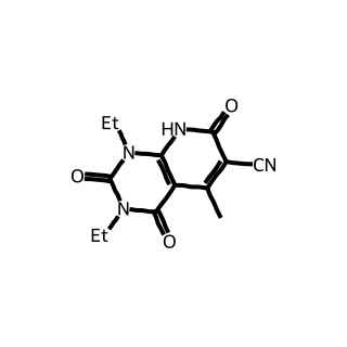 CCn1c(=O)c2c(C)c(C#N)c(=O)[nH]c2n(CC)c1=O